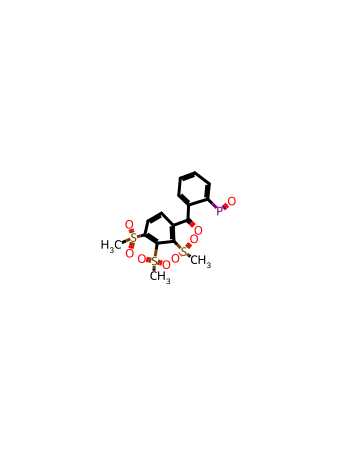 CS(=O)(=O)c1ccc(C(=O)c2ccccc2P=O)c(S(C)(=O)=O)c1S(C)(=O)=O